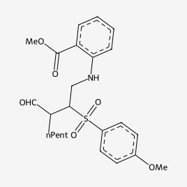 CCCCCC(C=O)C(CNc1ccccc1C(=O)OC)S(=O)(=O)c1ccc(OC)cc1